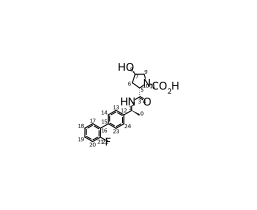 C[C@H](NC(=O)[C@@H]1C[C@@H](O)CN1C(=O)O)c1ccc(-c2ccccc2F)cc1